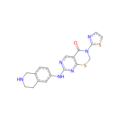 O=C1c2cnc(Nc3ccc4c(c3)CCNC4)nc2SCN1c1nccs1